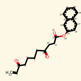 C=CC(=O)CCCCC(=O)CCC(=O)Oc1ccc2ccccc2c1